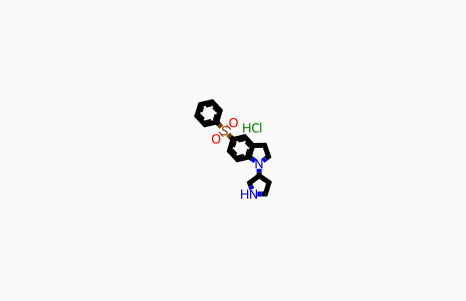 Cl.O=S(=O)(c1ccccc1)c1ccc2c(c1)CCN2C1CCNC1